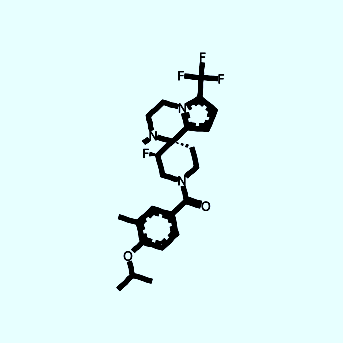 Cc1cc(C(=O)N2CC[C@]3(c4ccc(C(F)(F)F)n4CCN3C)[C@H](F)C2)ccc1OC(C)C